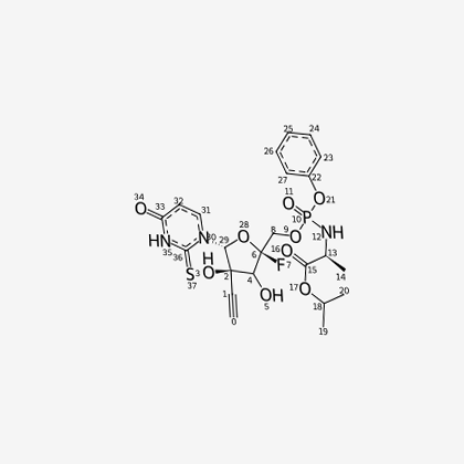 C#C[C@@]1(O)C(O)[C@@](F)(COP(=O)(N[C@@H](C)C(=O)OC(C)C)Oc2ccccc2)O[C@H]1n1ccc(=O)[nH]c1=S